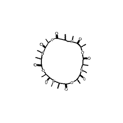 CC1OC(=O)C(C)N(C)C(=O)C(C)OC(=O)C(C)N(C)C(=O)C(C)OC(=O)C(C)N(C)C(=O)C(C)OC(=O)C(C)N(C)C1=O